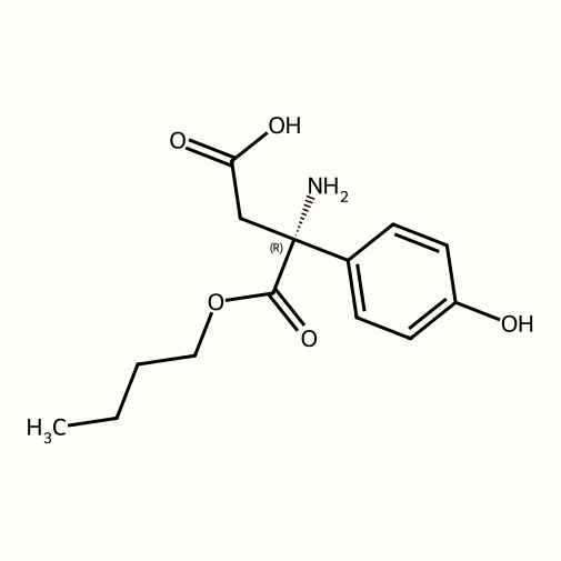 CCCCOC(=O)[C@@](N)(CC(=O)O)c1ccc(O)cc1